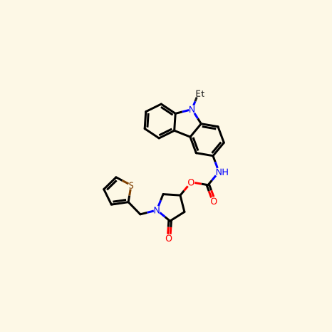 CCn1c2ccccc2c2cc(NC(=O)OC3CC(=O)N(Cc4cccs4)C3)ccc21